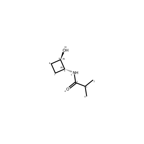 CC(C)C(=O)N[C@@H]1CC[C@H]1O